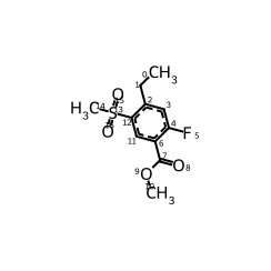 CCc1cc(F)c(C(=O)OC)cc1S(C)(=O)=O